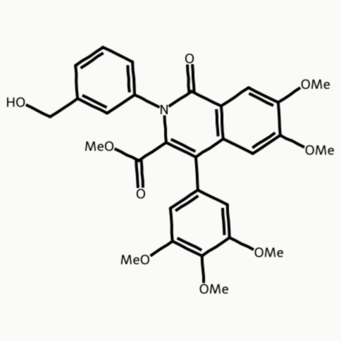 COC(=O)c1c(-c2cc(OC)c(OC)c(OC)c2)c2cc(OC)c(OC)cc2c(=O)n1-c1cccc(CO)c1